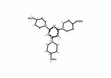 CNC1CCN(c2nc(N3CCC(NC)CC3)nc(N3CCC(NC)CC3)n2)CC1